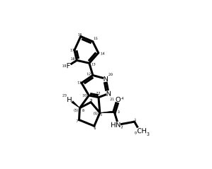 CCNC(=O)[C@@]12CC[C@@H](C1)c1cc(-c3ccccc3F)nnc12